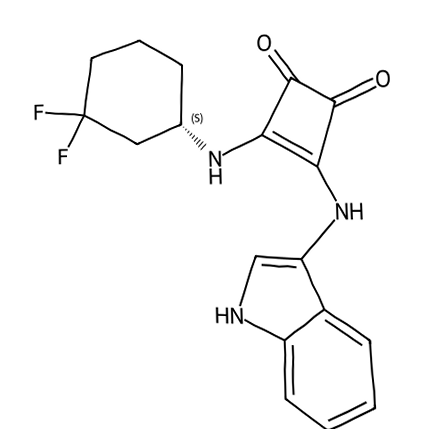 O=c1c(Nc2c[nH]c3ccccc23)c(N[C@H]2CCCC(F)(F)C2)c1=O